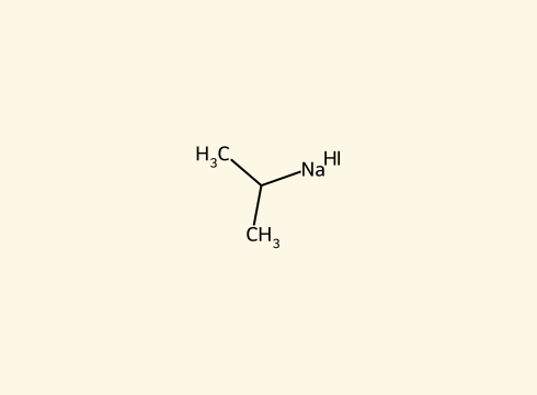 C[CH](C)[Na].I